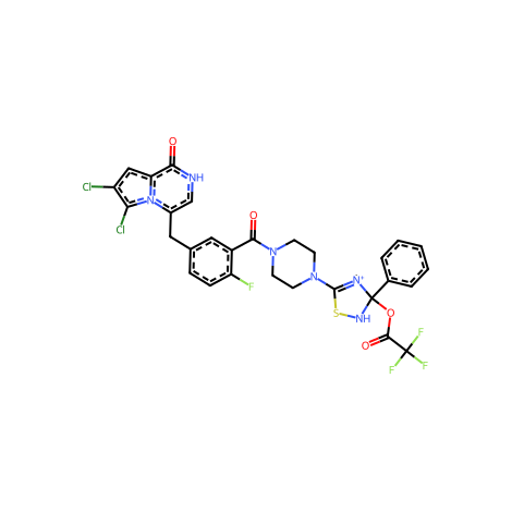 O=C(c1cc(Cc2c[nH]c(=O)c3cc(Cl)c(Cl)n23)ccc1F)N1CCN(C2=[N+]C(OC(=O)C(F)(F)F)(c3ccccc3)NS2)CC1